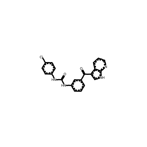 O=C(Nc1ccc(Cl)cc1)Nc1cccc(C(=O)c2c[nH]c3ncccc23)c1